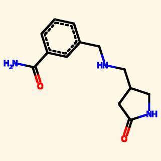 NC(=O)c1cccc(CNCC2CNC(=O)C2)c1